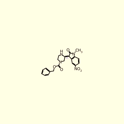 CN1C(=O)/C(=C2/CN(C(=O)OCc3ccccc3)CCN2)c2cc([N+](=O)[O-])ccc21